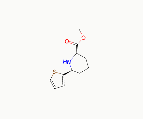 COC(=O)[C@H]1CCC[C@@H](c2cccs2)N1